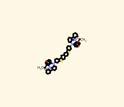 CC(C)c1ccccc1-n1c2ccccc2c2cccc(N(c3ccccc3)c3ccc4c(c3)sc3cc5cc6sc7cc(N(c8ccccc8)c8cccc9c%10ccccc%10n(-c%10ccccc%10C(C)C)c89)ccc7c6cc5cc34)c21